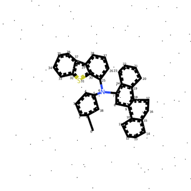 Cc1cccc(N(c2cc3c4ccccc4ccc3c3ccccc23)c2cccc3c2sc2ccccc23)c1